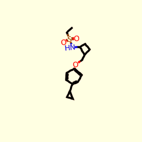 CCS(=O)(=O)NC1CCC1COc1ccc(C2CC2)cc1